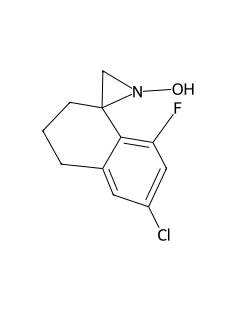 ON1CC12CCCc1cc(Cl)cc(F)c12